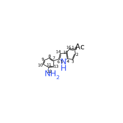 CC(=O)c1ccc2[nH]c(-c3cccc(N)c3)cc2c1